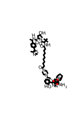 Cc1ncsc1-c1ccc(C(C)NC(=O)[C@@H]2C[C@@H](O)CN2C(=O)C(NC(=O)CCCCCCCCCC(=O)N2CCN(CCOc3cccc(N4C5CCC4CN(c4cc(-c6ccccc6O)nnc4N)C5)c3)CC2)C(C)(C)C)cc1